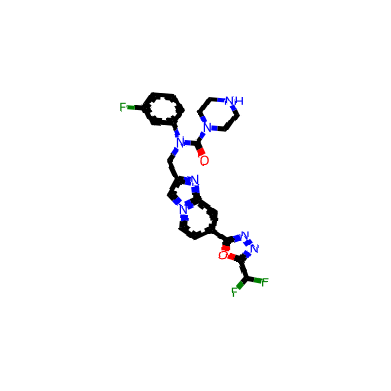 O=C(N1CCNCC1)N(Cc1cn2ccc(-c3nnc(C(F)F)o3)cc2n1)c1cccc(F)c1